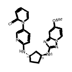 COc1ccn2nc(N[C@H]3CC[C@H](Nc4ccc(-n5ccccc5=O)cn4)C3)nc2c1